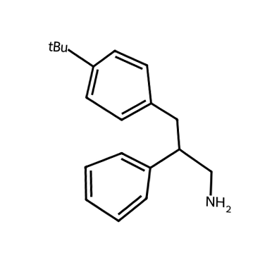 CC(C)(C)c1ccc(CC(CN)c2ccccc2)cc1